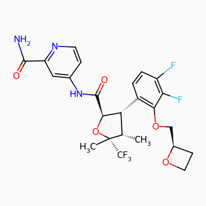 C[C@H]1[C@@H](c2ccc(F)c(F)c2OC[C@H]2CCO2)[C@H](C(=O)Nc2ccnc(C(N)=O)c2)O[C@@]1(C)C(F)(F)F